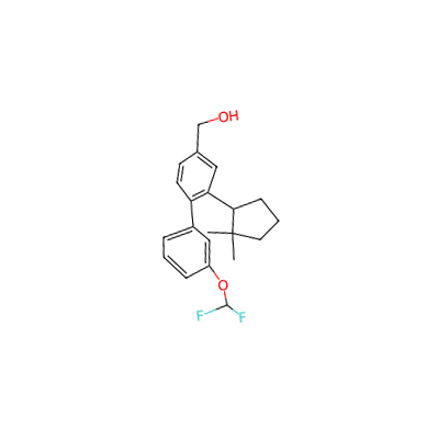 CC1(C)CCCC1c1cc(CO)ccc1-c1cccc(OC(F)F)c1